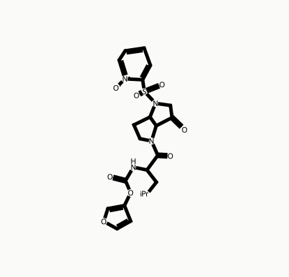 CC(C)CC(NC(=O)Oc1ccoc1)C(=O)N1CCC2C1C(=O)CN2S(=O)(=O)c1cccc[n+]1[O-]